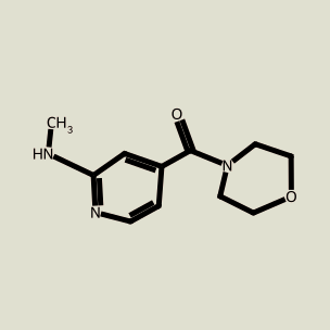 CNc1cc(C(=O)N2CCOCC2)ccn1